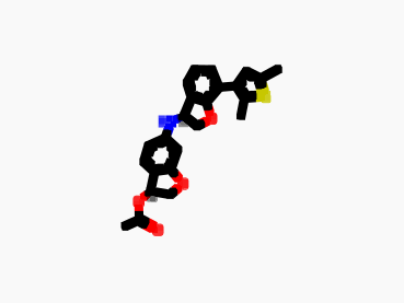 CC(=O)O[C@@H]1COc2cc(N[C@@H]3COc4c(-c5cc(C)sc5C)cccc43)ccc21